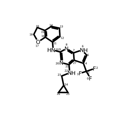 FC(F)(F)c1c[nH]c2nc(Nc3cc[c]c4c3OCC4)nc(NCC3CC3)c12